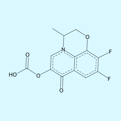 CC1COc2c(F)c(F)cc3c(=O)c(OC(=O)O)cn1c23